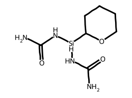 NC(=O)N[SiH](NC(N)=O)C1CCCCO1